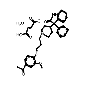 COc1cc(C(C)=O)ccc1OCCCN1CCC(C(C(N)=O)(c2ccccc2)c2ccccc2)CC1.O.O=C(O)/C=C/C(=O)O